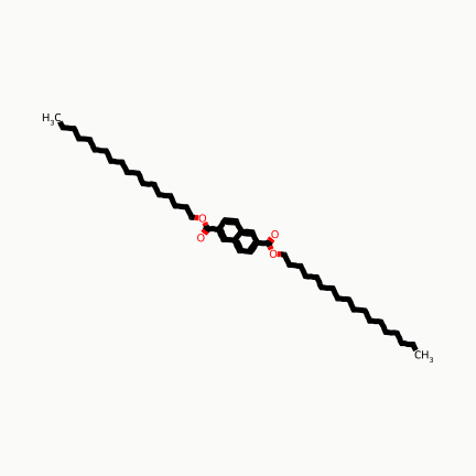 CCCCCCCCCCCCCCCCCCOC(=O)c1ccc2cc(C(=O)OCCCCCCCCCCCCCCCCCC)ccc2c1